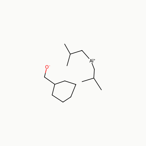 CC(C)[CH2][Al+][CH2]C(C)C.[O-]CC1CCCCC1